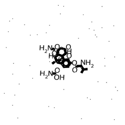 CC(C)[C@H](N)C(=O)Oc1ccc2c3c1O[C@H]1C(=O)CC[C@@]4(OC(N)=O)[C@@H](C2)N(C)CC[C@]314.NC(=O)O